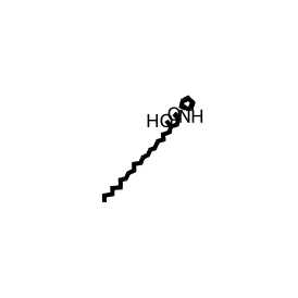 CCCCCCCCCCCCCCCCCCCC(O)CC(=O)Nc1ccccc1